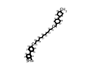 C=C1CCC(C2CCC(COCCCCCCCCCCCOc3ccc(-c4ccc(S)c(I)c4)cc3)CC2)CC1